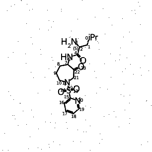 CC(C)C[C@H](N)C(=O)NC1CCCN(S(=O)(=O)c2ccccn2)CC1=O